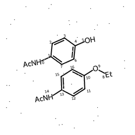 CC(=O)Nc1ccc(O)cc1.CCOc1ccc(NC(C)=O)cc1